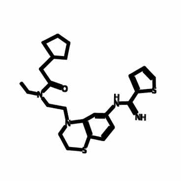 CCN(CCN1CCSc2ccc(NC(=N)c3cccs3)cc21)C(=O)CC1CCCC1